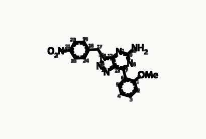 COc1ccccc1-c1nc(N)nc2c1nnn2Cc1ccc([N+](=O)[O-])cc1